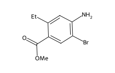 CCc1cc(N)c(Br)cc1C(=O)OC